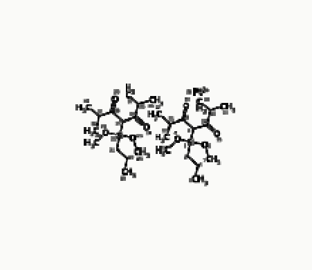 CCC[Si](OC)(OC)C(C(=O)C(C)C)C(=O)C(C)C.CCC[Si](OC)(OC)C(C(=O)C(C)C)C(=O)C(C)C.[Pt+2]